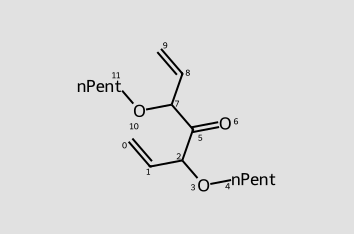 C=CC(OCCCCC)C(=O)C(C=C)OCCCCC